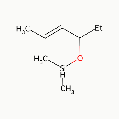 CC=CC(CC)O[SiH](C)C